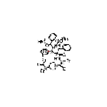 CCN(C(=O)OCc1ccccc1)C1CCN(C(=O)[C@@H](NC(=O)[C@H](Cc2ccccc2)C[C@H]([C@@H](NC(=O)OC(C)(C)C)C(O[SiH](C)C)c2ccccc2)C(C)(C)C)C(C)C)CC1